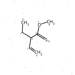 C=CC(CC)C(=S)OC